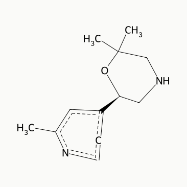 Cc1cc([C@@H]2CNCC(C)(C)O2)ccn1